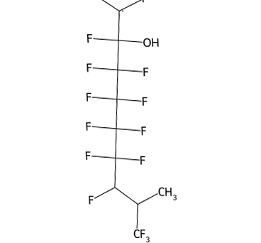 CC(C(F)C(F)(F)C(F)(F)C(F)(F)C(F)(F)C(O)(F)[C](F)F)C(F)(F)F